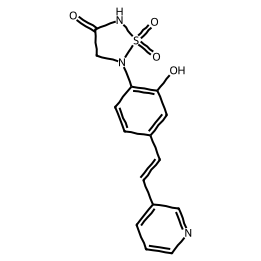 O=C1CN(c2ccc(C=Cc3cccnc3)cc2O)S(=O)(=O)N1